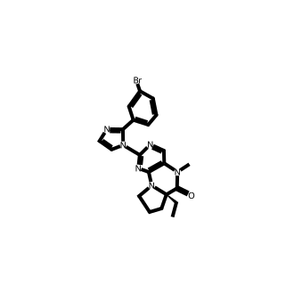 CC[C@@]12CCCN1c1nc(-n3ccnc3-c3cccc(Br)c3)ncc1N(C)C2=O